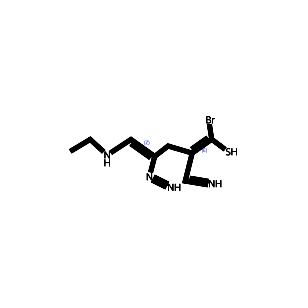 CCN/C=C(/C/C(C=N)=C(/S)Br)N=N